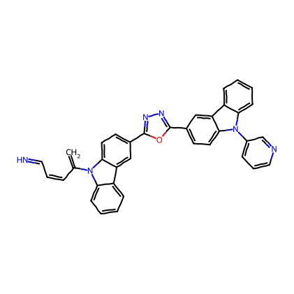 C=C(/C=C\C=N)n1c2ccccc2c2cc(-c3nnc(-c4ccc5c(c4)c4ccccc4n5-c4cccnc4)o3)ccc21